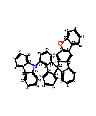 c1ccc2c(c1)-c1cc3c(cc1C21c2ccccc2-c2c(-n4c5ccccc5c5ccccc54)cccc21)oc1ccccc13